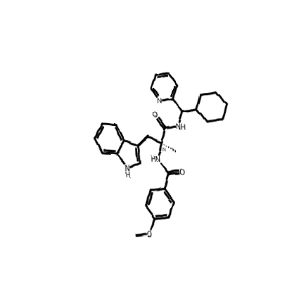 COc1ccc(C(=O)N[C@@](C)(Cc2c[nH]c3ccccc23)C(=O)NC(c2ccccn2)C2CCCCC2)cc1